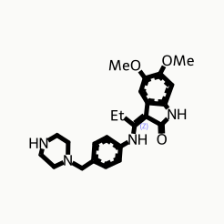 CC/C(Nc1ccc(CN2CCNCC2)cc1)=C1/C(=O)Nc2cc(OC)c(OC)cc21